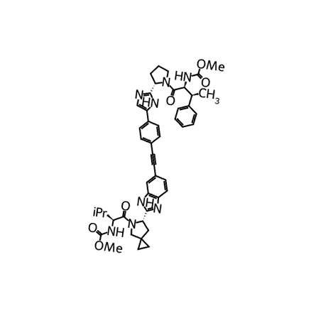 COC(=O)N[C@H](C(=O)N1CC2(CC2)C[C@H]1c1nc2ccc(C#Cc3ccc(-c4cnc([C@@H]5CCCN5C(=O)[C@@H](NC(=O)OC)[C@@H](C)c5ccccc5)[nH]4)cc3)cc2[nH]1)C(C)C